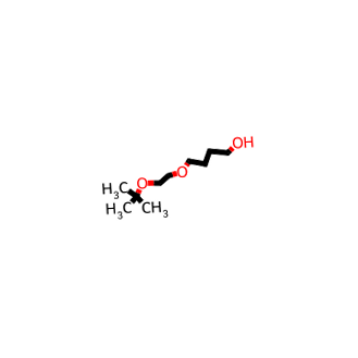 CC(C)(C)OCCOCCCCO